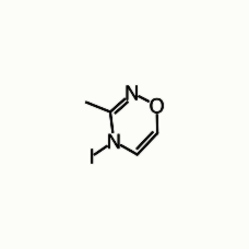 CC1=NOC=CN1I